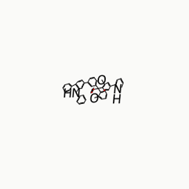 C1=CCNC(c2ccc3c(c2)Oc2ccc(-c4ccc(-c5ccccc5)c(Nc5ccccc5)c4)cc2C32c3ccccc3Oc3ccccc32)=C1